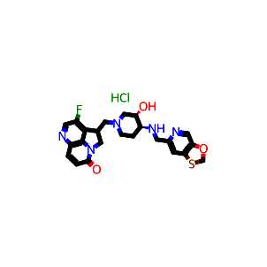 Cl.O=c1ccc2ncc(F)c3c2n1CC3CN1CC[C@H](NCc2cc3c(cn2)OCS3)[C@H](O)C1